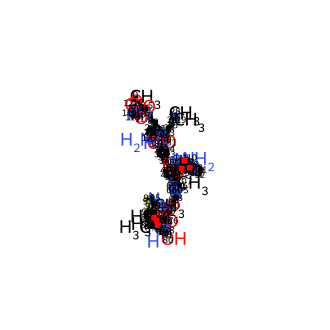 COC[C@@H](C(=O)NCCCCCN(C(=O)C1(C(N)=O)CCC1)[C@@H](CCCCN(C)C)C(=O)Nc1ccc(COc2ccccc2-c2cc(N3CC4CCC(C3)N4c3ccnc(OCCN4CCN(CCOc5cc([C@H](C(=O)N6C[C@H](O)C[C@H]6C(=O)N[C@@H](C)c6ccc(-c7scnc7C)cc6)C(C)C)on5)C[C@H]4C)c3)c(N)nn2)cc1)N1C(=O)C=CC1=O